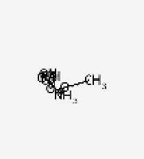 CCCCCCCCCCOc1cccc(CCC(=O)N(CCOP(=O)(O)O)Cc2ccns2)c1.N